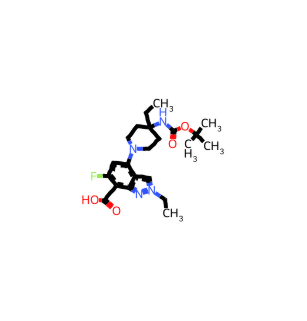 CCn1cc2c(N3CCC(CC)(NC(=O)OC(C)(C)C)CC3)cc(F)c(C(=O)O)c2n1